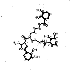 CC1OC(c2cccc(O)c2O)=NC1C(=O)N(CCCCNC(=O)c1cccc(O)c1O)CCCNC(=O)c1cccc(O)c1O